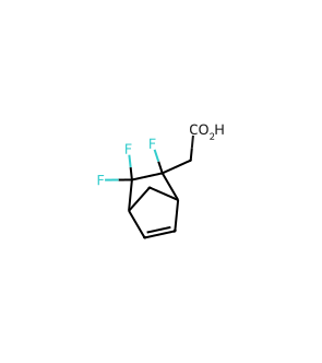 O=C(O)CC1(F)C2C=CC(C2)C1(F)F